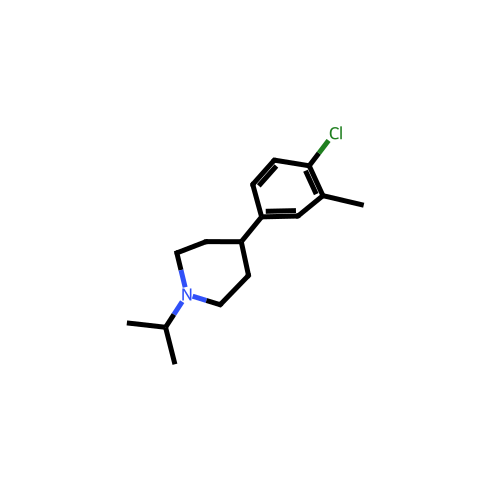 Cc1cc(C2CCN(C(C)C)CC2)ccc1Cl